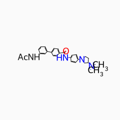 CC(=O)Nc1cccc(-c2ccc(C(=O)Nc3ccc(N4CCC(N(C)C)C4)cc3)cc2)c1